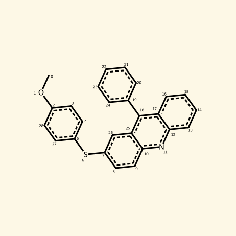 COc1ccc(Sc2ccc3nc4ccccc4c(-c4ccccc4)c3c2)cc1